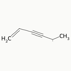 C=CC#C[CH]C